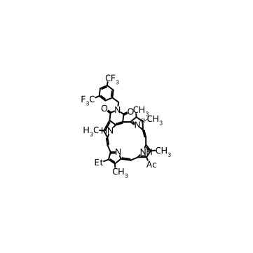 CCC1=C(C)c2cc3[nH]c(cc4nc(c5c6[nH]c(cc1n2)c(C)c6C(=O)N(Cc1cc(C(F)(F)F)cc(C(F)(F)F)c1)C5=O)C(C)[C@@H]4C)c(C)c3C(C)=O